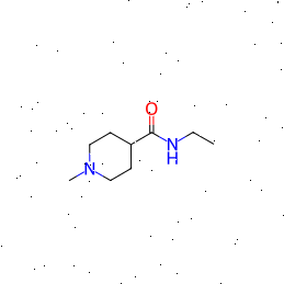 CCNC(=O)C1CCN(C)CC1